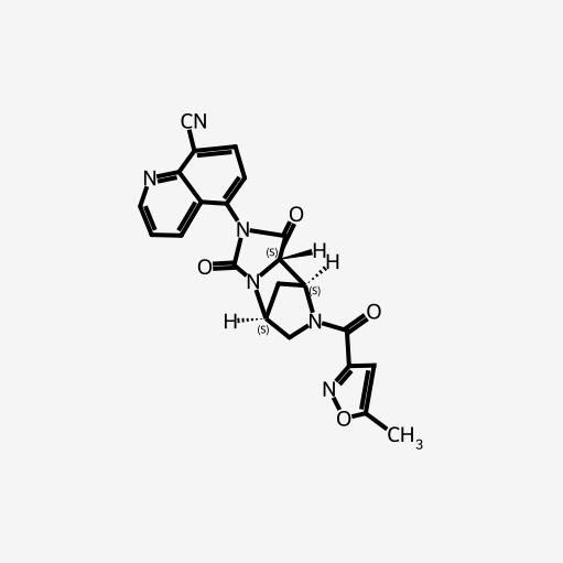 Cc1cc(C(=O)N2C[C@@H]3C[C@H]2[C@H]2C(=O)N(c4ccc(C#N)c5ncccc45)C(=O)N32)no1